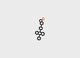 O=C1CCc2cc(-c3ccc(-c4c5ccccc5c(-c5ccccc5)c5ccccc45)cc3)ccc21